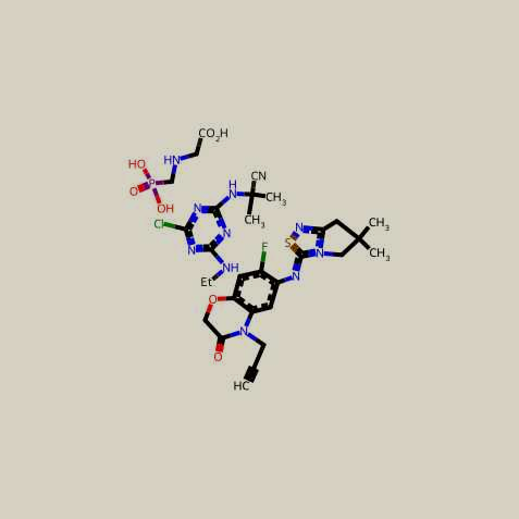 C#CCN1C(=O)COc2cc(F)c(/N=c3\snc4n3CC(C)(C)C4)cc21.CCNc1nc(Cl)nc(NC(C)(C)C#N)n1.O=C(O)CNCP(=O)(O)O